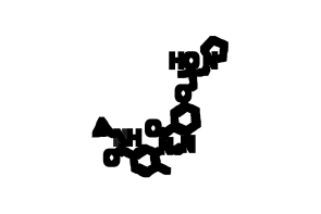 Cc1ccc(C(=O)NC2CC2)cc1-n1cnc2ccc(OCC(C)(O)CN3CCCC3)cc2c1=O